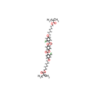 C=C(C)C(=O)OCCCCCCCOc1ccc(C(=O)Oc2ccc(OC(=O)c3ccc(OCCCCCCCOC(=O)C(=C)C)cc3F)cc2)c(F)c1